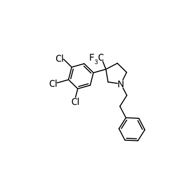 FC(F)(F)C1(c2cc(Cl)c(Cl)c(Cl)c2)CCN(CCc2ccccc2)C1